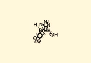 Nc1ncnc2c1nc(Sc1cc3c(cc1Br)OCO3)n2CCO